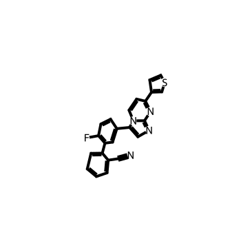 N#Cc1ccccc1-c1cc(-c2cnc3nc(-c4ccsc4)ccn23)ccc1F